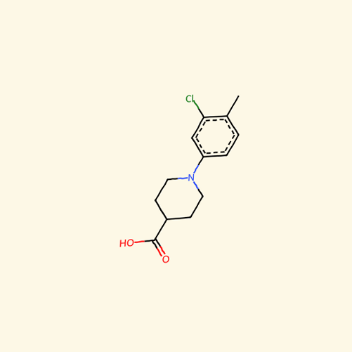 Cc1ccc(N2CCC(C(=O)O)CC2)cc1Cl